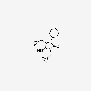 O=C1C(C2CCCCC2)N(CC2CO2)C(O)N1CC1CO1